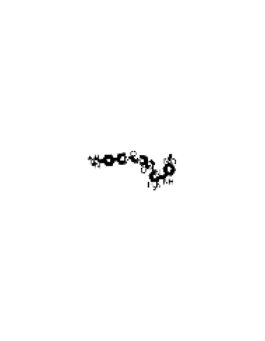 Cc1nc2cc(C(=N)c3nc(N4CC[C@]5(CCN(CC(=O)N6CC=C(c7ccc(-c8ncn(C)n8)cc7)CC6)C5)C4=O)ccc3N)ccc2o1